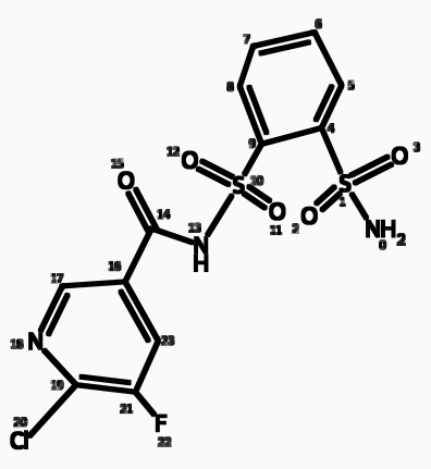 NS(=O)(=O)c1ccccc1S(=O)(=O)NC(=O)c1cnc(Cl)c(F)c1